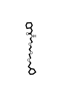 O=C(CC1CCCCC1)NCCOCCOCCOCCC1CCCCC1